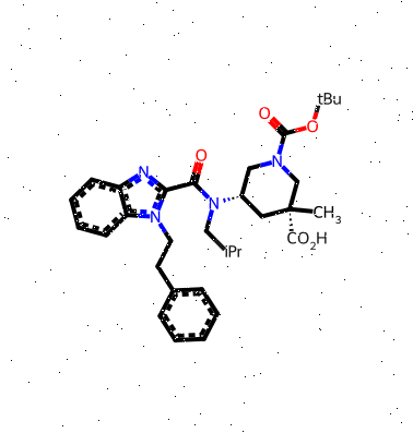 CC(C)CN(C(=O)c1nc2ccccc2n1CCc1ccccc1)[C@@H]1CN(C(=O)OC(C)(C)C)C[C@](C)(C(=O)O)C1